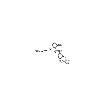 Br.CCCCCCCCCCCCCCOc1ccccc1C(=O)Nc1cccc(CN2CSC=C2C)c1